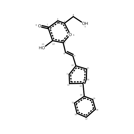 O=c1cc(CO)oc(C=Cc2ccc(-c3ccccc3)cc2)c1O